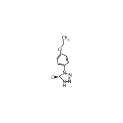 O=c1[nH]nnn1-c1ccc(OCC(F)(F)F)cc1